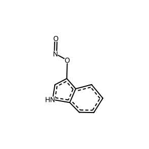 O=NOc1c[nH]c2ccccc12